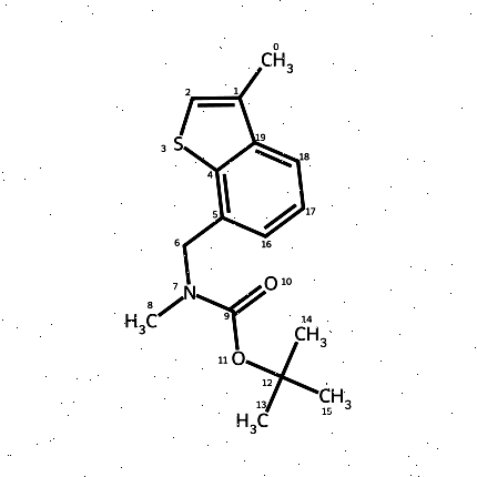 Cc1csc2c(CN(C)C(=O)OC(C)(C)C)cccc12